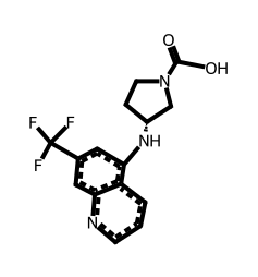 O=C(O)N1CC[C@@H](Nc2cc(C(F)(F)F)cc3ncccc23)C1